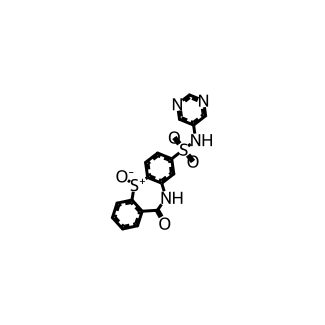 O=C1Nc2cc(S(=O)(=O)Nc3cncnc3)ccc2[S+]([O-])c2ccccc21